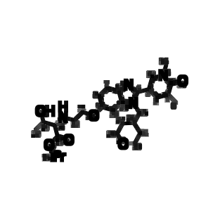 Cc1cc(-c2nc3ccc(OCCN[C@H](C(=O)OC(C)C)C(C)O)cc3n2CC2CCOCC2)cn(C)c1=O